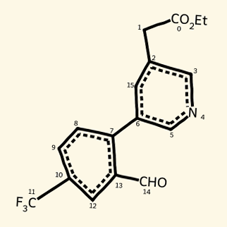 CCOC(=O)Cc1cncc(-c2ccc(C(F)(F)F)cc2C=O)c1